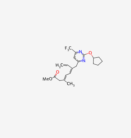 C=C/C(=C\C=C(/C)CC(=O)OC)Cc1cc(C(F)(F)F)nc(OC2CCCC2)n1